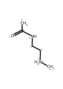 [CH2-][NH2+]CCNC(C)=O